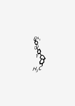 CCC1CCC2CC(c3ccc(C(=O)Oc4ccc(OC)cc4)cc3F)CCC2C1